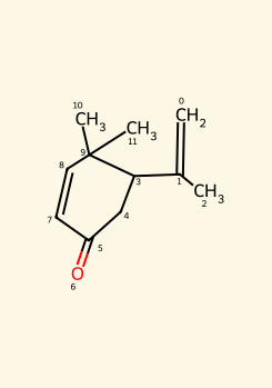 C=C(C)C1CC(=O)C=CC1(C)C